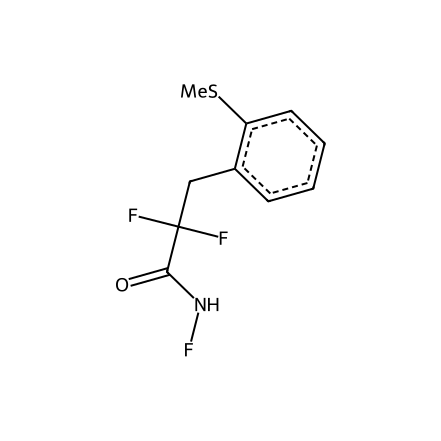 CSc1ccccc1CC(F)(F)C(=O)NF